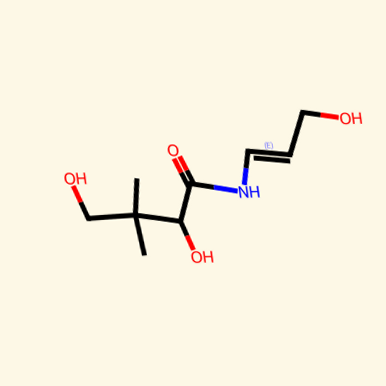 CC(C)(CO)C(O)C(=O)N/C=C/CO